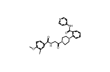 COc1ccc(C(=O)NCC(=O)N2CCN(c3ccccc3C(=O)Nc3ccncc3)CC2)cc1F